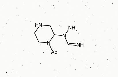 CC(=O)N1CCNCC1N(N)C=N